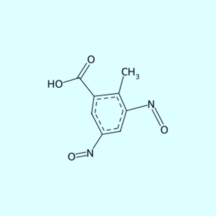 Cc1c(N=O)cc(N=O)cc1C(=O)O